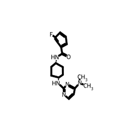 CN(C)c1ccnc(N[C@H]2CC[C@@H](NC(=O)c3cccc(F)c3)CC2)n1